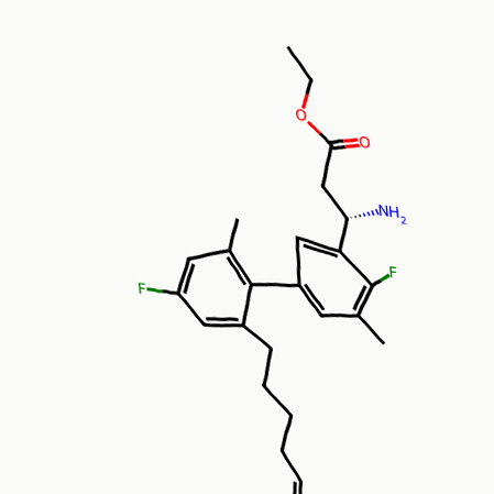 C=CCCCCc1cc(F)cc(C)c1-c1cc(C)c(F)c([C@@H](N)CC(=O)OCC)c1